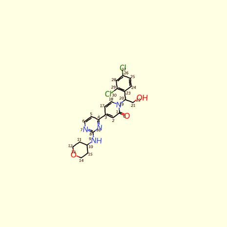 O=c1cc(-c2ccnc(NC3CCOCC3)n2)ccn1C(CO)c1ccc(Cl)cc1Cl